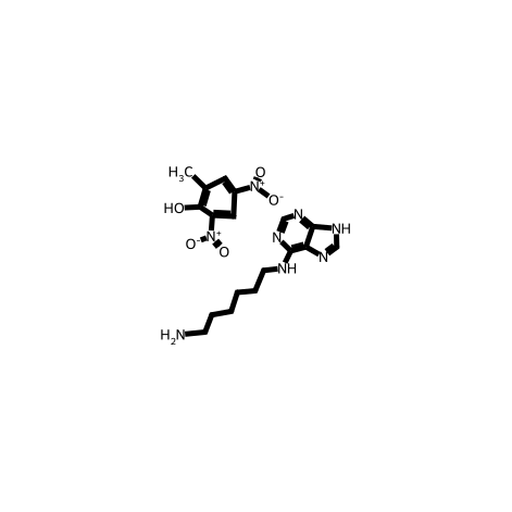 Cc1cc([N+](=O)[O-])cc([N+](=O)[O-])c1O.NCCCCCCNc1ncnc2[nH]cnc12